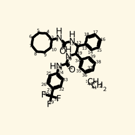 O=C(N[C]1CCCCCCC1)NC(c1ccccc1)C(NC(=O)Nc1ccc(C(F)(F)F)cc1)c1ccccc1.[CH2].[CH2]